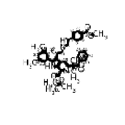 COC(=O)c1ccc(CCNC[C@@H](C)c2c(-c3cc(C)cc(C)c3)[nH]c3c(C(=O)OC(C)(C)C)nc(C(C)(C)C(=O)N4CC5CCC4CC5)cc23)cc1